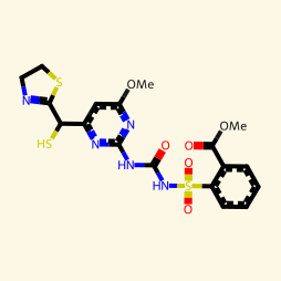 COC(=O)c1ccccc1S(=O)(=O)NC(=O)Nc1nc(OC)cc(C(S)C2=NCCS2)n1